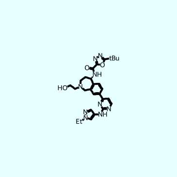 CCn1cc(Nc2nccc(-c3ccc4c(c3)CN(CCO)CC[C@H]4NC(=O)c3nnc(C(C)(C)C)o3)n2)cn1